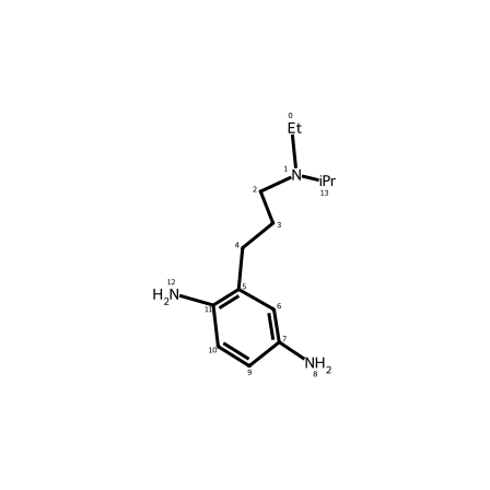 CCN(CCCc1cc(N)ccc1N)C(C)C